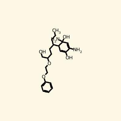 CCCC(CCC(CO)OCCOc1ccccc1)C1C=C(O)C(N)=CC1(N)O